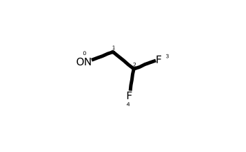 O=NCC(F)F